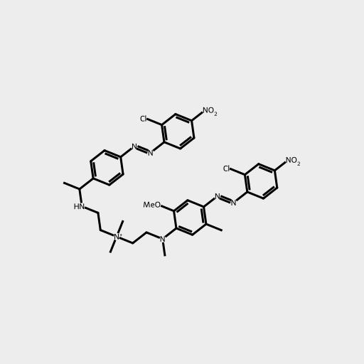 COc1cc(N=Nc2ccc([N+](=O)[O-])cc2Cl)c(C)cc1N(C)CC[N+](C)(C)CCNC(C)c1ccc(N=Nc2ccc([N+](=O)[O-])cc2Cl)cc1